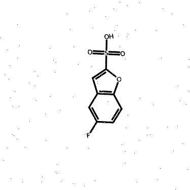 O=S(=O)(O)c1cc2cc(F)ccc2o1